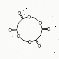 O=C1CC(=O)OCOC(=O)CC(=O)OCO1